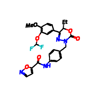 CCC1OC(=O)N(Cc2ccc(NC(=O)c3ccno3)cc2)N=C1c1ccc(OC)c(OC(F)F)c1